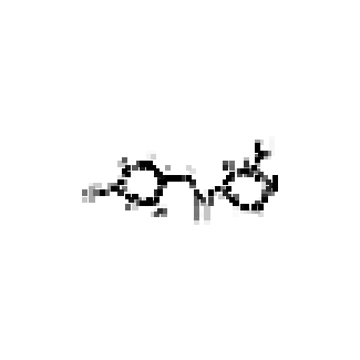 Fc1ccc(CNc2ccnc(Cl)c2)cc1